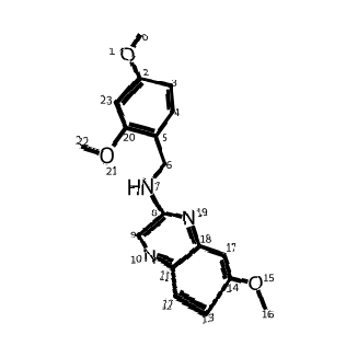 COc1ccc(CNc2cnc3ccc(OC)cc3n2)c(OC)c1